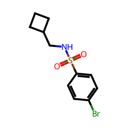 O=S(=O)(NCC1CCC1)c1ccc(Br)cc1